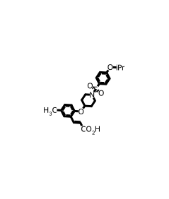 Cc1ccc(OC2CCN(S(=O)(=O)c3ccc(OC(C)C)cc3)CC2)c(/C=C/C(=O)O)c1